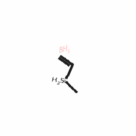 B.C=C[SiH2]C